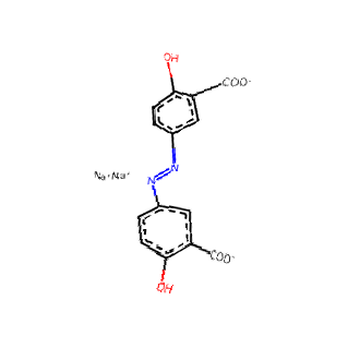 O=C([O-])c1cc(N=Nc2ccc(O)c(C(=O)[O-])c2)ccc1O.[Na+].[Na+]